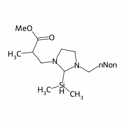 CCCCCCCCCCN1CCN(CC(C)C(=O)OC)C1[SiH](C)C